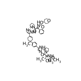 COC(=O)N[C@H](C(=O)N1CCC[C@H]1c1ncc(-c2ccc(C3(C)CC=C(c4cnc([C@@H]5CCCN5C(=O)[C@@H](NC(=O)OC5CCOCC5)c5ccccc5)[nH]4)CC3)cc2)[nH]1)C(C)C